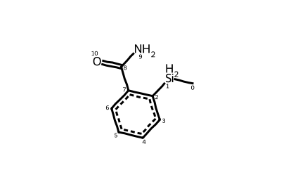 C[SiH2]c1ccccc1C(N)=O